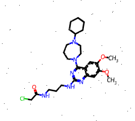 COc1cc2nc(NCCCNC(=O)CCl)nc(N3CCCN(C4CCCCC4)CC3)c2cc1OC